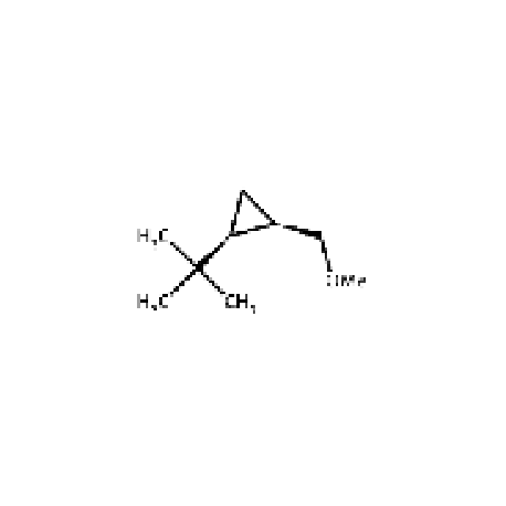 COC[C@@H]1C[C@@H]1C(C)(C)C